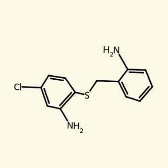 Nc1ccccc1CSc1ccc(Cl)cc1N